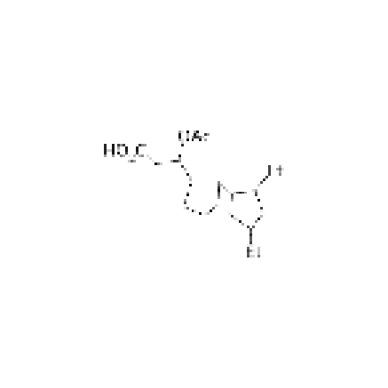 CCC1CC(CC)C2C3CC(CC3C(CC(=O)O)OC(C)=O)C12